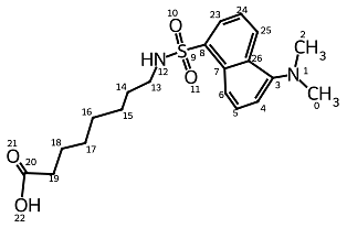 CN(C)c1cccc2c(S(=O)(=O)NCCCCCCCC(=O)O)cccc12